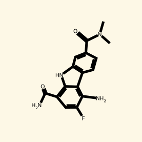 CN(C)C(=O)c1ccc2c(c1)[nH]c1c(C(N)=O)cc(F)c(N)c12